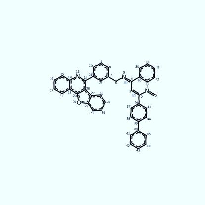 C=N/C(=C\C(=N/Cc1cccc(-c2nc3ccccc3c3oc4ccccc4c23)c1)c1ccccc1)c1ccc(-c2ccccc2)cc1